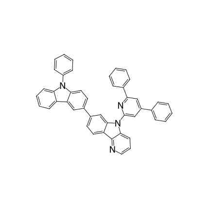 c1ccc(-c2cc(-c3ccccc3)nc(-n3c4cc(-c5ccc6c(c5)c5ccccc5n6-c5ccccc5)ccc4c4ncccc43)c2)cc1